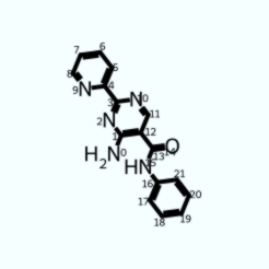 Nc1nc(-c2ccccn2)ncc1C(=O)Nc1ccccc1